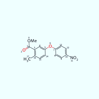 COC(=O)c1cc(Oc2ccc([N+](=O)[O-])cc2)ccc1C